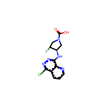 O=C(O)N1C[C@H](F)[C@H](Nc2nnc(Cl)c3cccnc23)C1